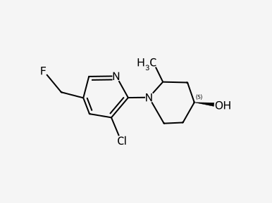 CC1C[C@@H](O)CCN1c1ncc(CF)cc1Cl